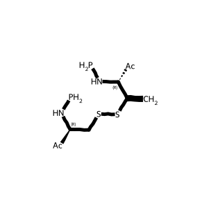 C=C(SSC[C@H](NP)C(C)=O)[C@H](NP)C(C)=O